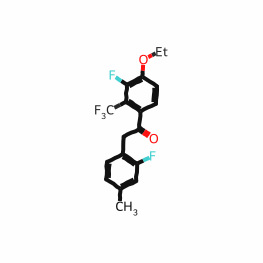 CCOc1ccc(C(=O)Cc2ccc(C)cc2F)c(C(F)(F)F)c1F